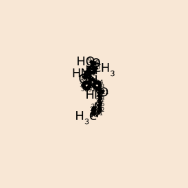 Cc1cc2c(cc1C(=O)O)NC(=O)C2=C(Nc1ccc(C(=O)NCCCN2CCN(C)CC2)cc1)c1ccccc1